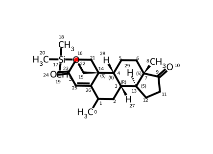 CC1C[C@@H]2[C@@H](CC[C@]3(C)C(=O)CC[C@@H]23)[C@@]2(CO[Si](C)(C)C)CCC(=O)C=C12